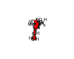 CCCN(CC[C@H](N)C(=O)O)C[C@H]1O[C@@H](N(C)C(/N=C(\OC)c2ccc(C(=O)NCCCOCCCNC(=O)CCCC[C@H]3SC[C@@H]4NC(=O)N[C@@H]43)cc2P(=O)(c2ccccc2)c2ccccc2)=N\C)[C@@H](O)C1O